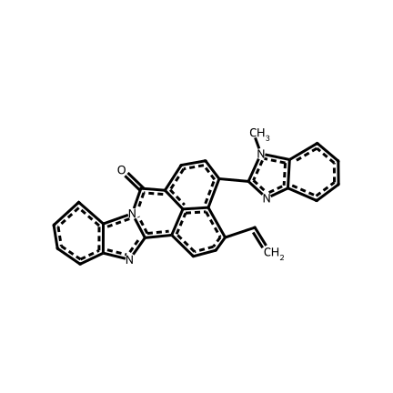 C=Cc1ccc2c3c1c(-c1nc4ccccc4n1C)ccc3c(=O)n1c3ccccc3nc21